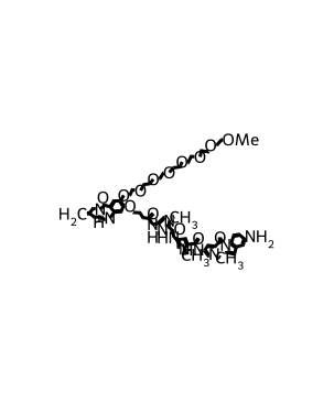 C=C1C[C@H]2C=Nc3cc(OCCCC(=O)Nc4cn(C)c(C(=O)Nc5cc(C(=O)Nc6cc(C(=O)n7ccc8cc(N)ccc87)n(C)c6)n(C)c5)n4)c(OCCOCCOCCOCCOCCOCCOCCOC)cc3C(=O)N2C1